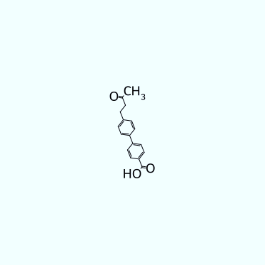 CC(=O)CCc1ccc(-c2ccc(C(=O)O)cc2)cc1